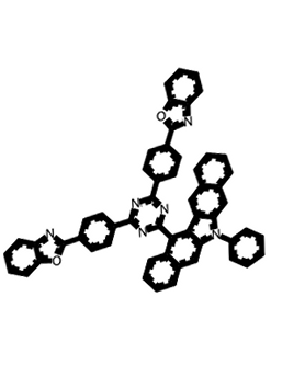 c1ccc(-n2c3cc4ccccc4cc3c3c(-c4nc(-c5ccc(-c6nc7ccccc7o6)cc5)nc(-c5ccc(-c6nc7ccccc7o6)cc5)n4)c4ccccc4cc32)cc1